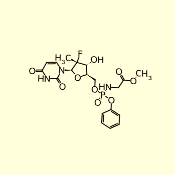 COC(=O)CN[P@@](=O)(OC[C@H]1O[C@@H](n2ccc(=O)[nH]c2=O)[C@](C)(F)[C@@H]1O)Oc1ccccc1